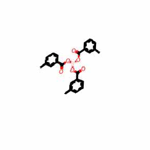 Cc1cccc(C(=O)OB(OC(=O)c2cccc(C)c2)OC(=O)c2cccc(C)c2)c1